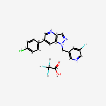 Fc1cncc(Cn2ncc3ncc(-c4ccc(Cl)cc4)cc32)c1.O=C(O)C(F)(F)F